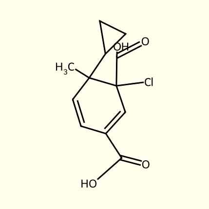 CC1(C2CC2)C=CC(C(=O)O)=CC1(Cl)C(=O)O